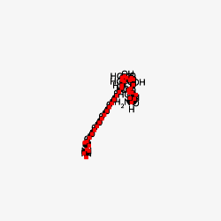 Cc1nnc(-c2ccc(OCCOCCOCCOCCOCCOCCOCCOCCOCCC(=O)NCC3O[C@H](OP(=O)(O)OP(=O)(O)OC[C@H]4O[C@@H](n5cnc6c(=O)[nH]c(N)nc65)[C@@H](O)C4O)C(O)C(O)[C@@H]3O)cc2)nn1